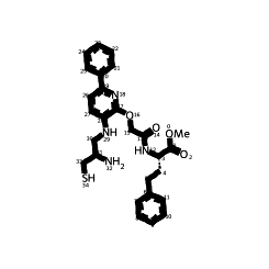 COC(=O)[C@H](CCc1ccccc1)NC(=O)COc1nc(-c2ccccc2)ccc1NCC(N)CS